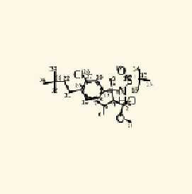 COC(=O)C(C(C)C)[C@@](C)(N[S@@+]([O-])C(C)(C)C)c1ccc(CCC(C)(C)C)c(Cl)c1